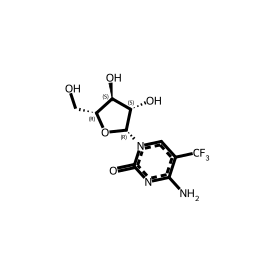 Nc1nc(=O)n([C@@H]2O[C@H](CO)[C@@H](O)[C@@H]2O)cc1C(F)(F)F